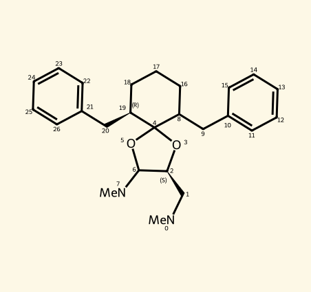 CNC[C@@H]1OC2(OC1NC)C(Cc1ccccc1)CCC[C@@H]2Cc1ccccc1